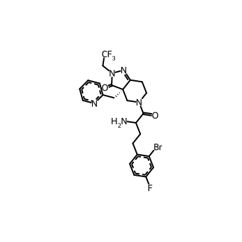 NC(CCc1ccc(F)cc1Br)C(=O)N1CCC2=NN(CC(F)(F)F)C(=O)[C@]2(Cc2ccccn2)C1